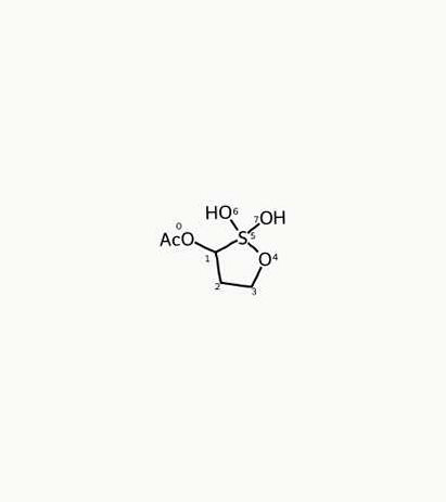 CC(=O)OC1CCOS1(O)O